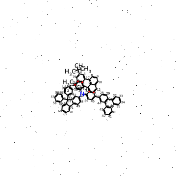 CC(C)(C)c1cc(-c2cccc3cccc(-c4ccccc4N(c4ccc(-c5ccc(-c6ccccc6)c(-c6ccccc6)c5)cc4)c4ccc5c(c4)C(c4ccccc4)(c4ccccc4)c4ccccc4-5)c23)cc(C(C)(C)C)c1